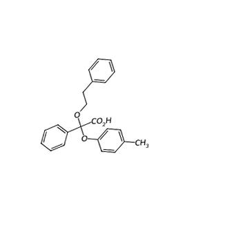 Cc1ccc(OC(OCCc2ccccc2)(C(=O)O)c2ccccc2)cc1